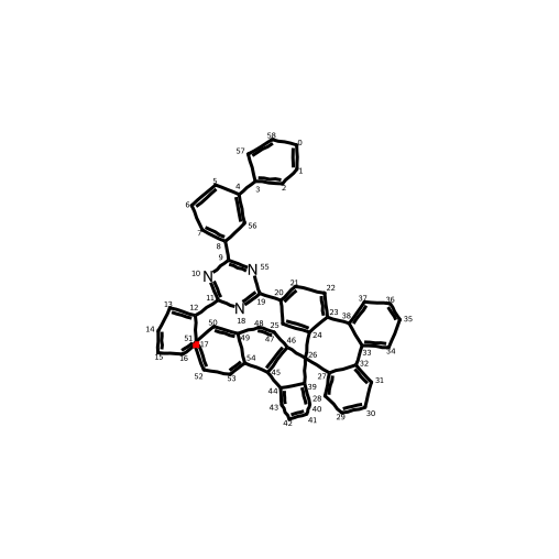 c1ccc(-c2cccc(-c3nc(-c4ccccc4)nc(-c4ccc5c(c4)C4(c6ccccc6-c6ccccc6-5)c5ccccc5-c5c4ccc4ccccc54)n3)c2)cc1